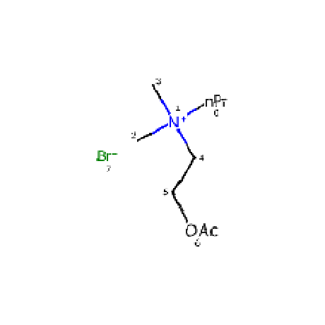 CCC[N+](C)(C)CCOC(C)=O.[Br-]